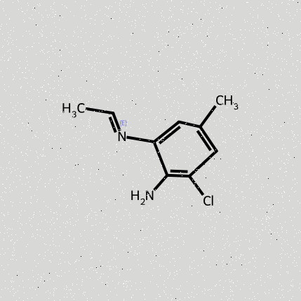 C/C=N/c1cc(C)cc(Cl)c1N